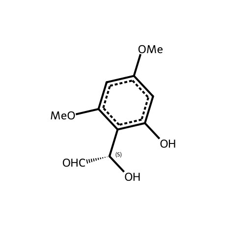 COc1cc(O)c([C@H](O)C=O)c(OC)c1